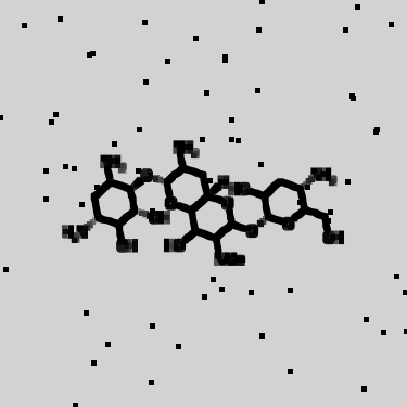 CNC1C(O[C@H]2OC(CO)[C@@H](N)CC2O)O[C@H]2CC(N)[C@@H](O[C@@H]3C(N)C[C@@H](N)C(O)[C@H]3O)OC2C1O